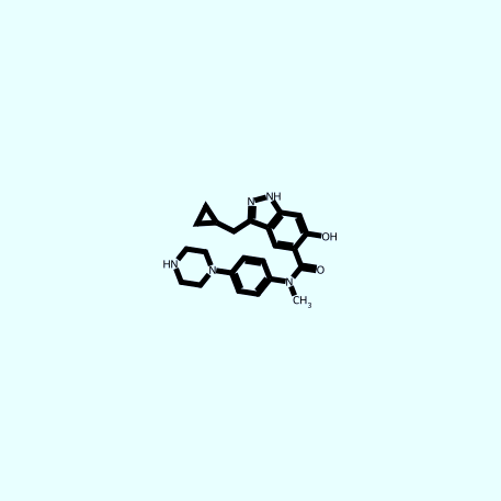 CN(C(=O)c1cc2c(CC3CC3)n[nH]c2cc1O)c1ccc(N2CCNCC2)cc1